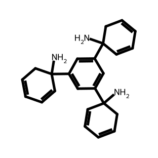 NC1(c2cc(C3(N)C=CC=CC3)cc(C3(N)C=CC=CC3)c2)C=CC=CC1